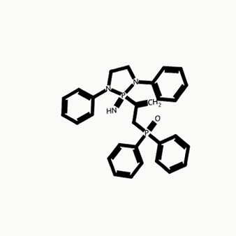 C=C(CP(=O)(c1ccccc1)c1ccccc1)P1(=N)N(c2ccccc2)CCN1c1ccccc1